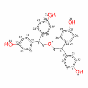 Oc1ccc(C(COCC(c2ccc(O)cc2)c2ccc(O)cc2)c2ccc(O)cc2)cc1